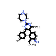 CN/C=C1/C=C(c2c(NC)nc(N3CCCNCC3)nc2-c2ccc(C#N)cc2)C=CC1=N